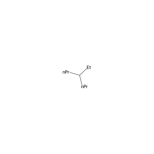 C[CH]CC(CC)CCC